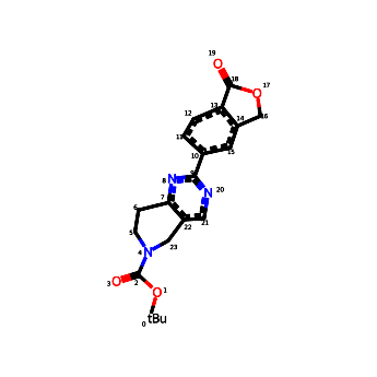 CC(C)(C)OC(=O)N1CCc2nc(-c3ccc4c(c3)COC4=O)ncc2C1